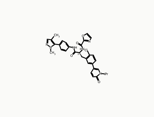 Cc1cnn(C)c1-c1ccc(NC(=O)[C@H](Cc2cc(-c3ccc(=O)n(C(C)C)c3)ccc2Cl)NC(=O)c2ncco2)cc1